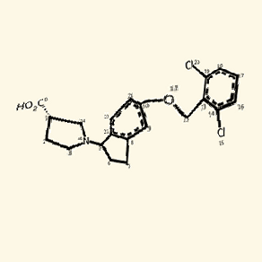 O=C(O)[C@H]1CCN(C2CCc3cc(OCc4c(Cl)cccc4Cl)ccc32)C1